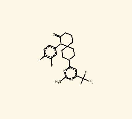 Nc1nc(N2CCC3(CCCC(=O)N3c3ccc(F)c(F)c3)CC2)cc(C(F)(F)C(F)(F)F)n1